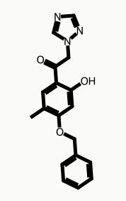 Cc1cc(C(=O)Cn2cncn2)c(O)cc1OCc1ccccc1